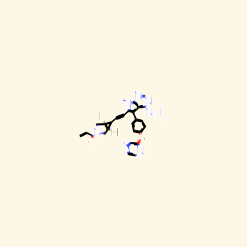 C=CC(=O)N1C[C@@H]2C(C#Cc3c(-c4ccc(Oc5cnccn5)cc4)c4c(N)ncnc4n3C)[C@@H]2C1